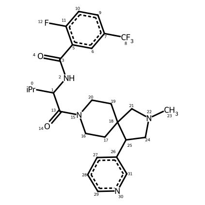 CC(C)C(NC(=O)c1cc(C(F)(F)F)ccc1F)C(=O)N1CCC2(CC1)CN(C)CC2c1cccnc1